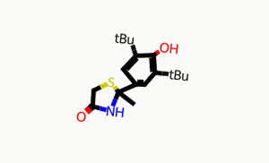 CC(C)(C)c1cc(C2(C)NC(=O)CS2)cc(C(C)(C)C)c1O